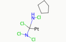 C1CCCC1.ClN[C](Cl)([Pt])N(Cl)Cl